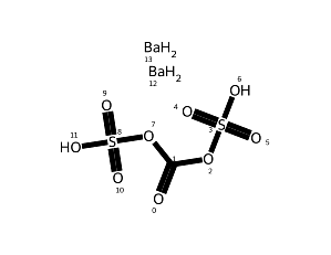 O=C(OS(=O)(=O)O)OS(=O)(=O)O.[BaH2].[BaH2]